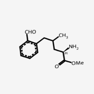 COC(=O)[C@H](N)CC(C)Cc1ccccc1C=O